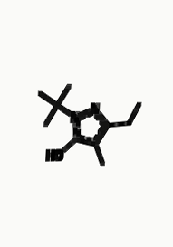 CCc1nn(C(C)(C)C)c(O)c1C